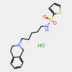 Cl.O=S(=O)(NCCCCCN1CCc2ccccc2C1)c1cccs1